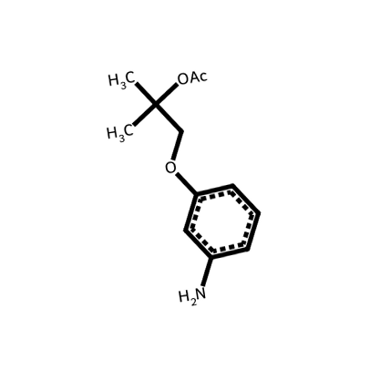 CC(=O)OC(C)(C)COc1cccc(N)c1